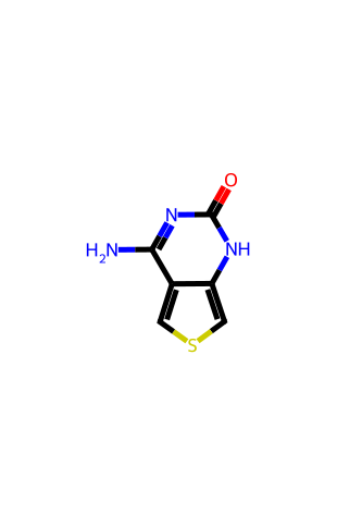 Nc1nc(=O)[nH]c2cscc12